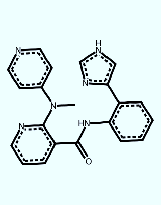 CN(c1ccncc1)c1ncccc1C(=O)Nc1ccccc1-c1c[nH]cn1